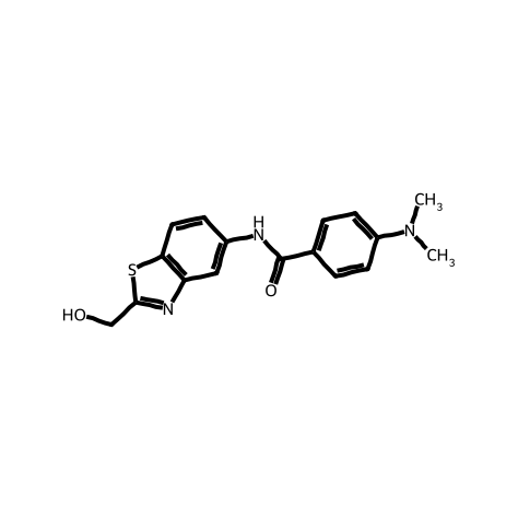 CN(C)c1ccc(C(=O)Nc2ccc3sc(CO)nc3c2)cc1